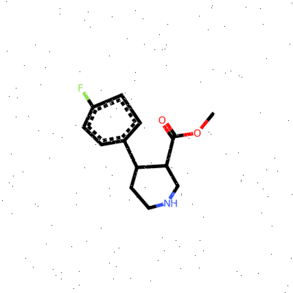 COC(=O)C1CNCCC1c1ccc(F)cc1